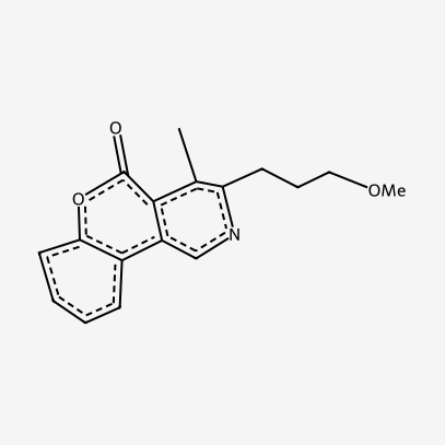 COCCCc1ncc2c(c1C)c(=O)oc1ccccc12